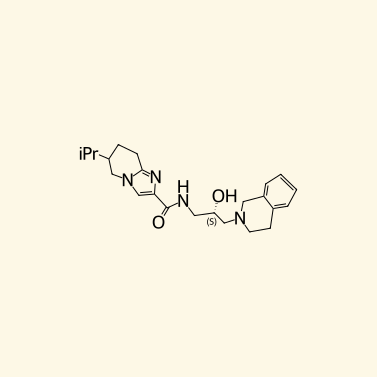 CC(C)C1CCc2nc(C(=O)NC[C@H](O)CN3CCc4ccccc4C3)cn2C1